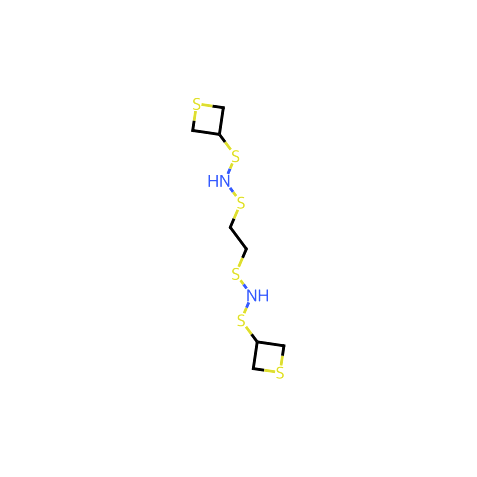 C(CSNSC1CSC1)SNSC1CSC1